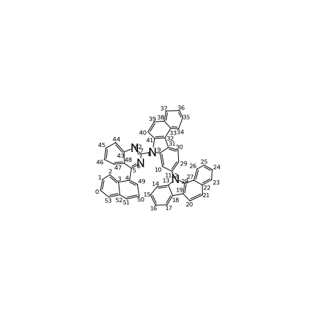 c1ccc2c(-c3nc(-n4c5cc(-n6c7ccccc7c7ccc8ccccc8c76)ccc5c5c6ccccc6ccc54)nc4ccccc34)cccc2c1